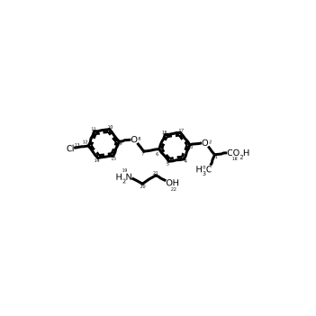 CC(Oc1ccc(COc2ccc(Cl)cc2)cc1)C(=O)O.NCCO